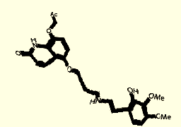 COc1ccc(CCNCCCOc2ccc(OCC(C)=O)c3[nH]c(=O)ccc23)c(O)c1OC